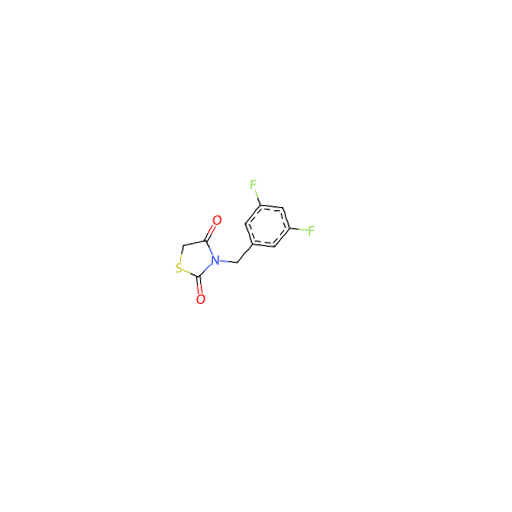 O=C1CSC(=O)N1Cc1cc(F)cc(F)c1